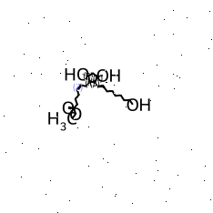 COC(=O)CCC/C=C\C[C@@H]1[C@H](C=CCCCCCCO)[C@H](O)C[C@H]1O